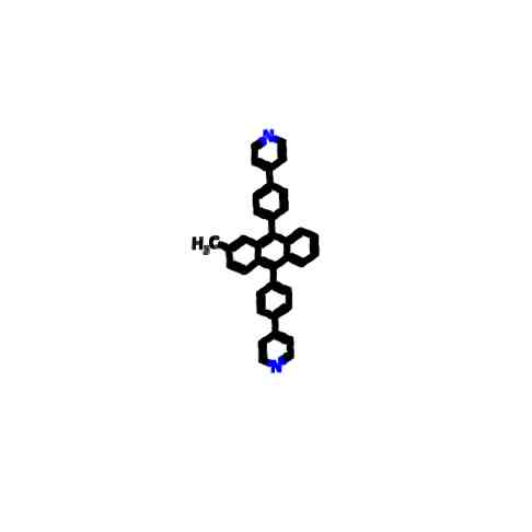 Cc1ccc2c(-c3ccc(-c4ccncc4)cc3)c3ccccc3c(-c3ccc(-c4ccncc4)cc3)c2c1